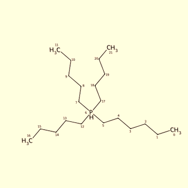 CCCCCC[PH](CCCCC)(CCCCC)CCCCC